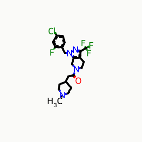 CN1CCC(CC(=O)N2CCc3c(C(F)(F)F)nn(Cc4ccc(Cl)cc4F)c3C2)CC1